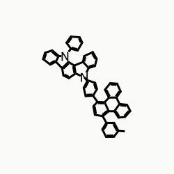 Cc1cccc(-c2ccc(-c3ccc(-n4c5ccccc5c5c4ccc4c6ccccc6n(-c6ccccc6)c45)cc3)c3c4ccccc4c4ccccc4c23)c1